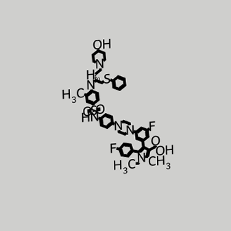 CCn1c(C)c(C(=O)O)c(-c2cc(F)cc(N3CCN(c4ccc(NS(=O)(=O)c5ccc(N[C@H](CCN6CCC(O)CC6)CSc6ccccc6)c(C)c5)cc4)CC3)c2)c1-c1ccc(F)cc1